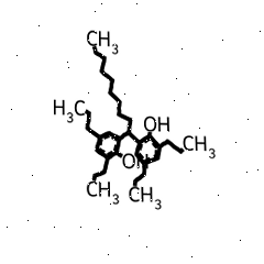 CCCCCCCCCC(c1cc(CCC)cc(CCC)c1O)c1cc(CCC)cc(CCC)c1O